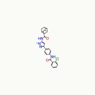 Cn1nc(-c2ccc(NC(=O)c3ccccc3Cl)cc2)cc1NC(=O)C1CC2CCC1CC2